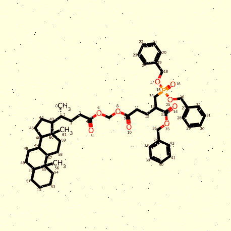 C[C@H](CCC(=O)OCOC(=O)CCC(CP(=O)(OCc1ccccc1)OCc1ccccc1)C(=O)OCc1ccccc1)C1CCC2C3CCC4CCCCC4(C)C3CCC21C